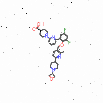 Cc1nc(C2CCN(C3COC3)CC2)ccc1COc1c(F)cc(F)cc1-c1cccc(N2CCC(C(=O)O)CC2)n1